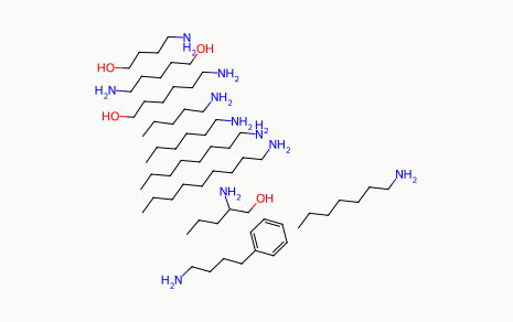 CCCC(N)CO.CCCCCCCCCN.CCCCCCCCN.CCCCCCCN.CCCCCCN.CCCCCN.NCCCCCCO.NCCCCCO.NCCCCO.NCCCCc1ccccc1